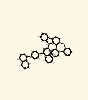 c1ccc2c(c1)Sc1ccc3c4ccccc4n(-c4nc(-c5ccc(-c6cccc7ccccc67)cc5)c5ccccc5n4)c3c1-c1ccccc1-2